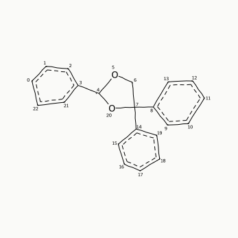 c1ccc([C]2OCC(c3ccccc3)(c3ccccc3)O2)cc1